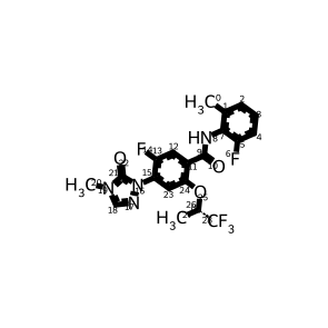 Cc1cccc(F)c1NC(=O)c1cc(F)c(-n2ncn(C)c2=O)cc1O[C@@H](C)C(F)(F)F